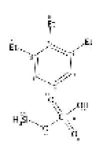 CCc1cccc(CC)c1CC.[O]=[Cr](=[O])([OH])[O][SiH3]